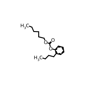 CCCCCCOC(=O)Oc1ccccc1CCCC